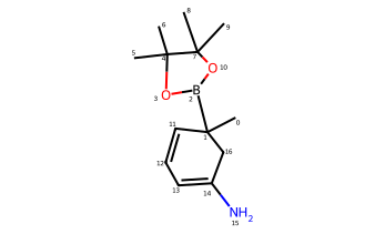 CC1(B2OC(C)(C)C(C)(C)O2)C=CC=C(N)C1